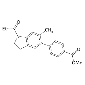 CCC(=O)N1CCc2cc(-c3ccc(C(=O)OC)cc3)c(C)cc21